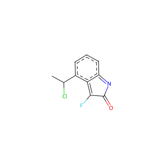 CC(Cl)c1cccc2c1=C(F)C(=O)N=2